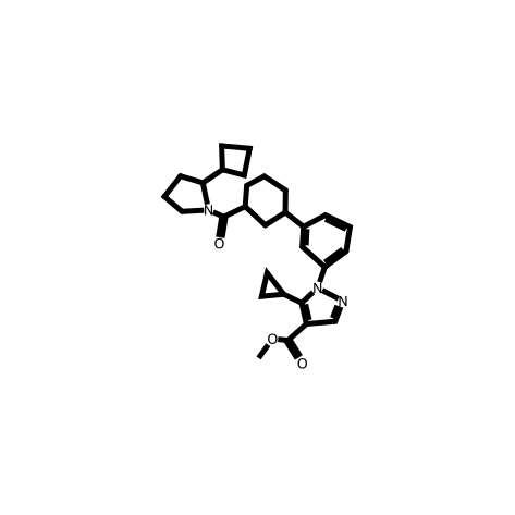 COC(=O)c1cnn(-c2cccc(C3CCCC(C(=O)N4CCCC4C4CCC4)C3)c2)c1C1CC1